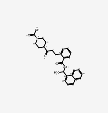 CC(NC(=O)c1ccccc1CCC(=O)N1CCN(C(=O)O)CC1)c1cccc2ccccc12